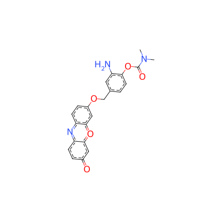 CN(C)C(=O)Oc1ccc(COc2ccc3nc4ccc(=O)cc-4oc3c2)cc1N